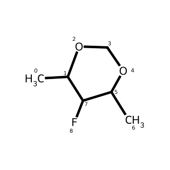 CC1OCOC(C)C1F